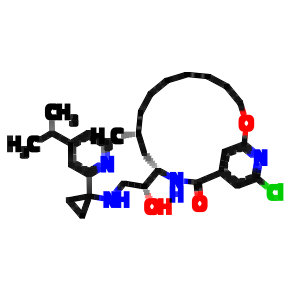 CC(C)c1ccnc(C2(NC[C@@H](O)[C@@H]3C[C@H](C)CCCCCCCOc4cc(cc(Cl)n4)C(=O)N3)CC2)c1